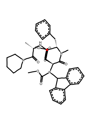 COC(=O)N(C1c2ccccc2-c2ccccc21)[C@@H](CC(=O)O)C(=O)N(C)[C@@H](Cc1ccccc1)C(=O)N[C@@H](C)C(=O)N1CCCCC1